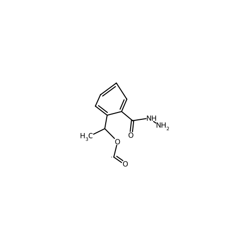 CC(O[C]=O)c1ccccc1C(=O)NN